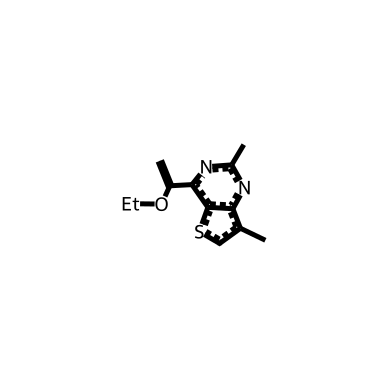 C=C(OCC)c1nc(C)nc2c(C)csc12